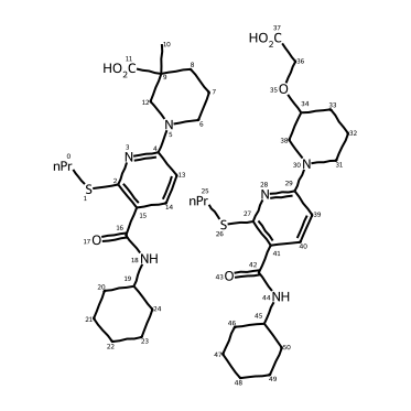 CCCSc1nc(N2CCCC(C)(C(=O)O)C2)ccc1C(=O)NC1CCCCC1.CCCSc1nc(N2CCCC(OCC(=O)O)C2)ccc1C(=O)NC1CCCCC1